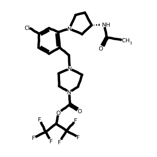 CC(=O)N[C@H]1CCN(c2cc(Cl)ccc2CN2CCN(C(=O)OC(C(F)(F)F)C(F)(F)F)CC2)C1